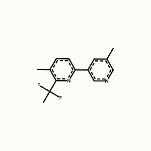 Cc1cncc(-c2ccc(C)c(C(C)(F)F)n2)c1